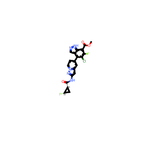 COC(=O)c1c(F)c(Cl)c(-c2ccn3nc(NC(=O)[C@@H]4C[C@@H]4F)cc3c2)c2cn[nH]c12